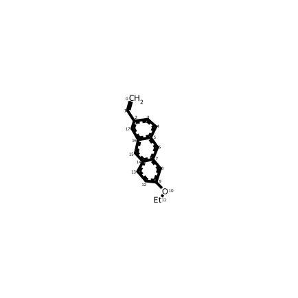 C=Cc1ccc2cc3cc(OCC)ccc3cc2c1